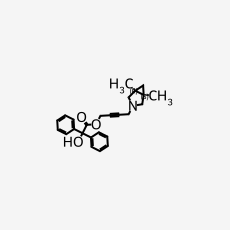 C[C@@]12CN(CC#CCOC(=O)C(O)(c3ccccc3)c3ccccc3)C[C@]1(C)C2